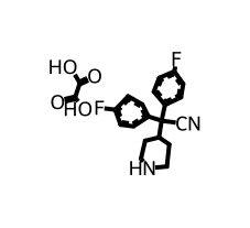 N#CC(c1ccc(F)cc1)(c1ccc(F)cc1)C1CCNCC1.O=C(O)C(=O)O